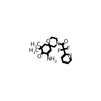 CC1(C)CC2(C=C(N)C1=O)CN(C(=O)C(F)(F)c1ccccn1)CCO2